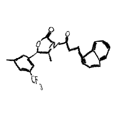 Cc1cc([C@H]2OC(=O)N(C(=O)CCc3cccc4ccccc34)[C@H]2C)cc(C(F)(F)F)c1